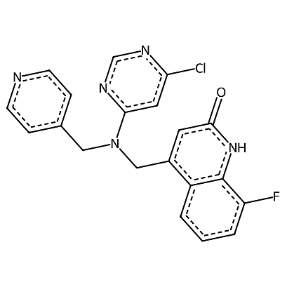 O=c1cc(CN(Cc2ccncc2)c2cc(Cl)ncn2)c2cccc(F)c2[nH]1